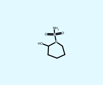 NS(=O)(=O)N1CCCCC1O